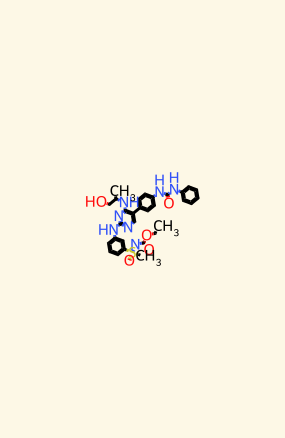 CCOC(=O)N=S(C)(=O)c1cccc(Nc2ncc(-c3ccc(NC(=O)Nc4ccccc4)cc3)c(NC(C)CO)n2)c1